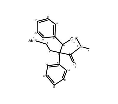 CNCCC(C(=O)N(C)C)(c1ccccc1)C(O)c1ccccc1